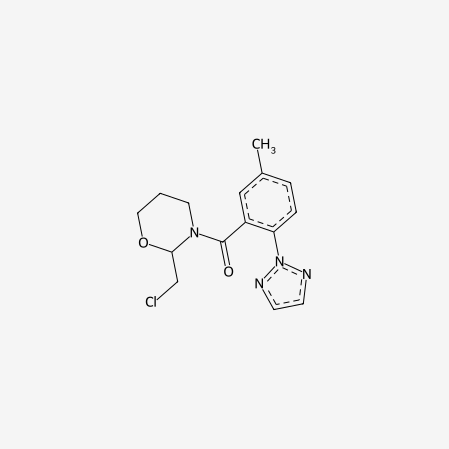 Cc1ccc(-n2nccn2)c(C(=O)N2CCCOC2CCl)c1